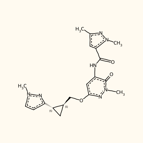 Cc1cc(C(=O)Nc2cc(OC[C@H]3C[C@@H]3c3ccn(C)n3)nn(C)c2=O)n(C)n1